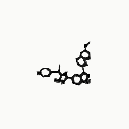 COc1ccc2cc(-c3n[nH]c4ccc(-c5n[nH]c(C(C)C6CCNCC6)n5)cc34)ccc2c1